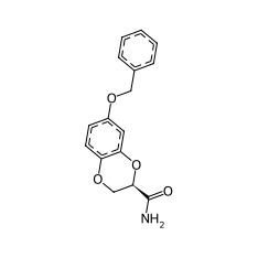 NC(=O)[C@H]1COc2ccc(OCc3ccccc3)cc2O1